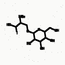 CNC(COC1OC(CO)C(O)C(O)C1O)C(O)I